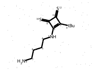 CC(C)(C)c1c(NCCCCN)c(=S)c1=S